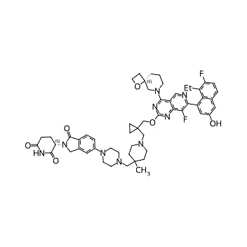 CCc1c(F)ccc2cc(O)cc(-c3ncc4c(N5CCC[C@]6(CCO6)C5)nc(OCC5(CN6CCC(C)(CN7CCN(c8ccc9c(c8)CN([C@H]8CCC(=O)NC8=O)C9=O)CC7)CC6)CC5)nc4c3F)c12